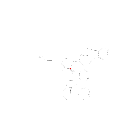 C=C/C=C(\C=C/N(/C(=C/C1=Cc2ccccc2C12C1=C(C=CCC1)c1ccccc12)CCC)c1ccc2c(c1)C(C)(C)c1ccccc1-2)CCCC=C